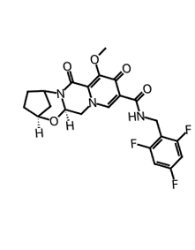 COc1c2n(cc(C(=O)NCc3c(F)cc(F)cc3F)c1=O)C[C@H]1O[C@H]3CCC(C3)N1C2=O